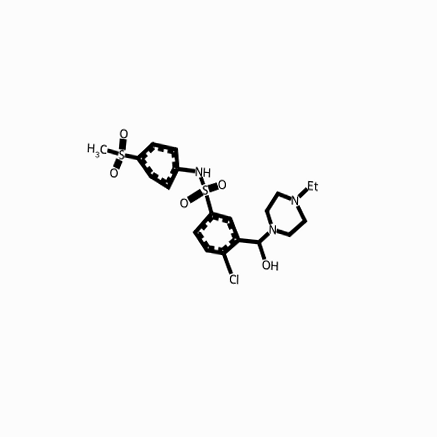 CCN1CCN(C(O)c2cc(S(=O)(=O)Nc3ccc(S(C)(=O)=O)cc3)ccc2Cl)CC1